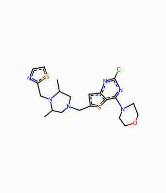 CC1CN(Cc2cc3nc(Cl)nc(N4CCOCC4)c3s2)CC(C)N1Cc1nccs1